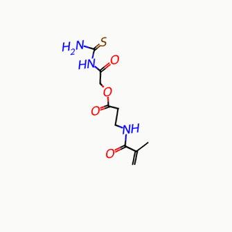 C=C(C)C(=O)NCCC(=O)OCC(=O)NC(N)=S